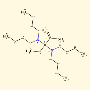 C=C([SiH3])C(CC)(N(CCCC)CCCC)N(CCCC)CCCC